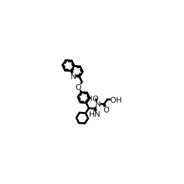 N=C(C(c1ccc(OCc2ccc3ccccc3n2)cc1)C1CCCCC1)N(O)C(=O)CO